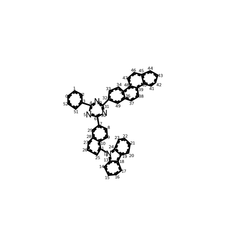 c1ccc(-c2nc(-c3ccc4c(-n5c6ccccc6c6ccccc65)cccc4c3)nc(-c3ccc4c(ccc5c6ccccc6ccc45)c3)n2)cc1